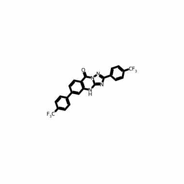 O=c1c2ccc(-c3ccc(C(F)(F)F)cc3)cc2[nH]c2nc(-c3ccc(C(F)(F)F)cc3)nn12